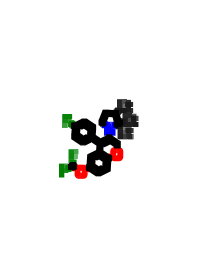 CCC1CCN(C2=C(c3ccc(F)cc3)c3cc(OC(F)F)ccc3OC2)C1(CC)CC